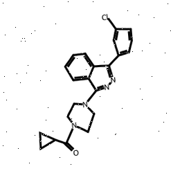 O=C(C1CC1)N1CCN(c2nnc(-c3cccc(Cl)c3)c3ccccc23)CC1